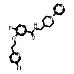 O=C(NCC1CCN(c2ccncc2)CC1)c1ccc(F)c(OCCc2ccc(Cl)cn2)c1